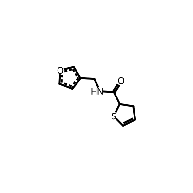 O=C(NCc1ccoc1)C1CC=CS1